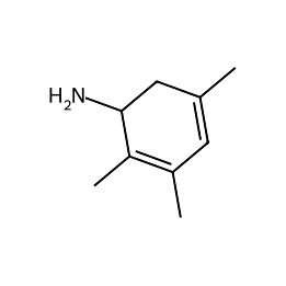 CC1=CC(C)=C(C)C(N)C1